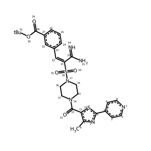 Cc1nc(-c2ccncc2)sc1C(=O)N1CCN(S(=O)(=O)C(=Cc2cccc(C(=O)OC(C)(C)C)c2)C(=N)N)CC1